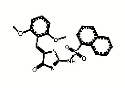 COc1cccc(OC)c1C=C1SC(NS(=O)(=O)c2cccc3ccccc23)=NC1=O